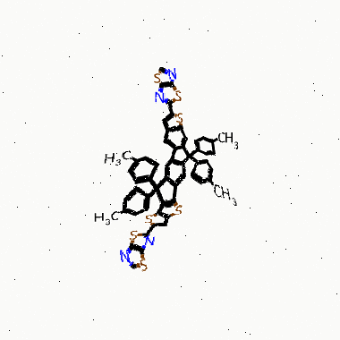 Cc1ccc(C2(c3ccc(C)cc3)c3cc4c(cc3-c3cc5cc(-c6nc7scnc7s6)sc5cc32)C(c2ccc(C)cc2)(c2ccc(C)cc2)c2c-4sc3cc(-c4nc5scnc5s4)sc23)cc1